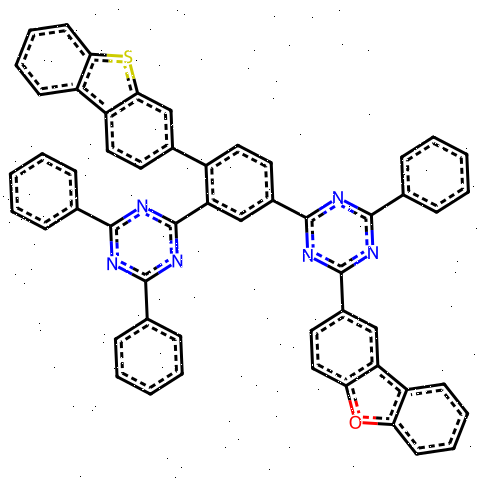 c1ccc(-c2nc(-c3ccc(-c4ccc5c(c4)sc4ccccc45)c(-c4nc(-c5ccccc5)nc(-c5ccccc5)n4)c3)nc(-c3ccc4oc5ccccc5c4c3)n2)cc1